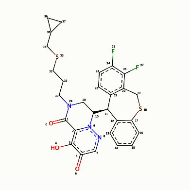 O=C1c2c(O)c(=O)cnn2C([C@@H]2c3ccccc3SCc3c2ccc(F)c3F)CN1CCCSCC1CC1